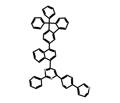 c1ccc(-c2nc(-c3ccc(-c4cccnc4)cc3)cc(-c3ccc(-c4ccc5c(c4)-c4ccccc4C5(c4ccccc4)c4ccccc4)c4ccccc34)n2)cc1